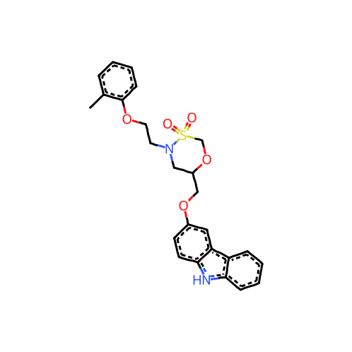 Cc1ccccc1OCCN1CC(COc2ccc3[nH]c4ccccc4c3c2)OCS1(=O)=O